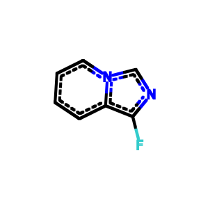 Fc1ncn2ccccc12